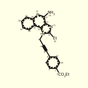 CCOC(=O)c1ccc(C#CCn2c(CC)nc3c(N)nc4ccccc4c32)cc1